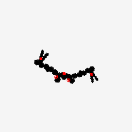 CCCCCCCCC1(CCCCCCCC)c2ccccc2-c2ccc(-c3ccc4c(c3)C(C)(C)c3cc(-c5ccc(-c6cc7c(c8c6oc6ccccc68)-c6ccc8c(c6C7(C)C)C(C)(C)c6cc(-c7ccc(-c9ccc%10c(c9)C(C)(C)c9cc(-c%11ccc%12c(c%11)C(CCCCCCCC)(CCCCCCCC)c%11ccccc%11-%12)ccc9-%10)cc7)c7c(oc9ccccc97)c6-8)cc5)ccc3-4)cc21